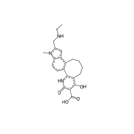 CCNCc1cc2c3c(ccc2n1C)-c1[nH]c(=O)c(C(=O)O)c(O)c1CCCC3